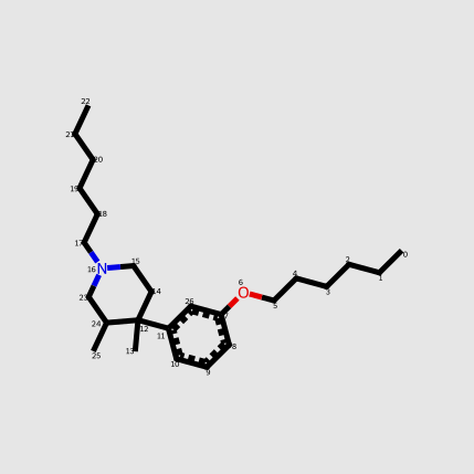 CCCCCCOc1cccc(C2(C)CCN(CCCCCC)CC2C)c1